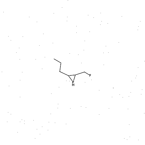 CCCC1PC1CF